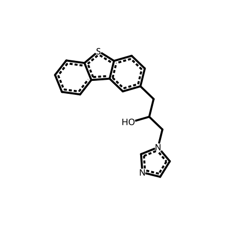 OC(Cc1ccc2sc3ccccc3c2c1)Cn1ccnc1